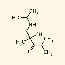 CC(C)NCC(C)(C)C(=O)C(C)C